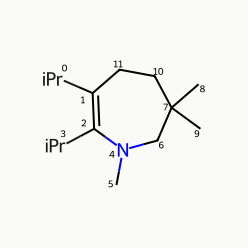 CC(C)C1=C(C(C)C)N(C)CC(C)(C)CC1